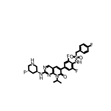 CC(C)n1c(=O)c(-c2cc(F)c(NS(=O)(=O)Cc3ccc(F)cc3)c(F)c2)cc2cnc(N[C@@H]3CNC[C@@H](F)C3)nc21